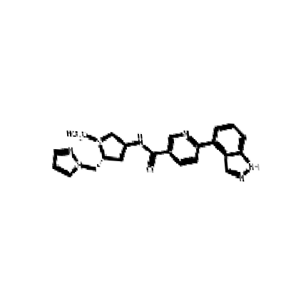 O=C(NC1C[C@H](Cn2cccn2)N(C(=O)O)C1)c1ccc(-c2cccc3[nH]ncc23)nc1